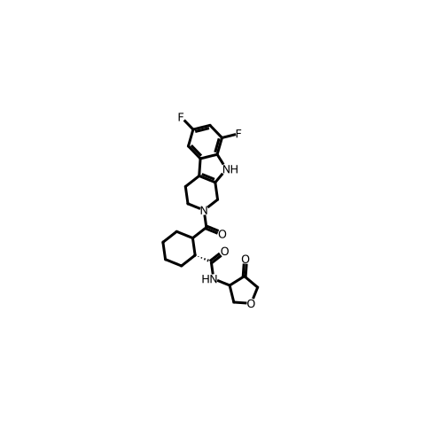 O=C1COCC1NC(=O)[C@@H]1CCCCC1C(=O)N1CCc2c([nH]c3c(F)cc(F)cc23)C1